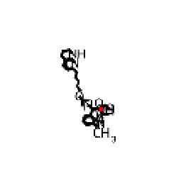 Cc1nn([C@H]2CCOC2)c2c(C(C(=O)O)N3CC(OCCCCCc4ccc5c(n4)NCCC5)C3)cccc12